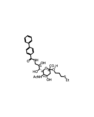 CCSCCCO[C@]1(C(=O)O)C[C@H](O)[C@@H](NC(C)=O)[C@H](C(O)[C@H](O)CNC(=O)c2ccc(-c3ccccc3)cc2)O1